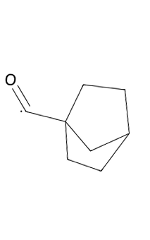 O=[C]C12CCC(CC1)C2